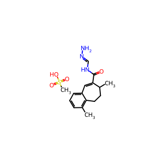 CS(=O)(=O)O.Cc1cccc2c1CCC(C)C(C(=O)NC=NN)=C2